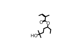 CC=C(C)C(=O)OC(CC)CCC(C)(C)O